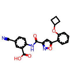 N#Cc1ccc(NC(=O)c2cc(-c3ccccc3OC3CCC3)on2)c(C(=O)O)c1